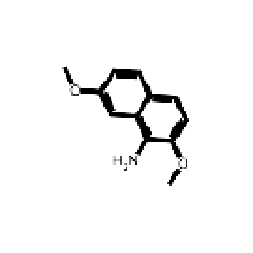 COc1ccc2ccc(OC)c(N)c2c1